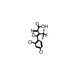 O=C(O)c1noc(-c2ccc(Cl)cc2Cl)c1C(F)(F)F